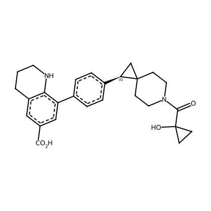 O=C(O)c1cc2c(c(-c3ccc([C@H]4CC45CCN(C(=O)C4(O)CC4)CC5)cc3)c1)NCCC2